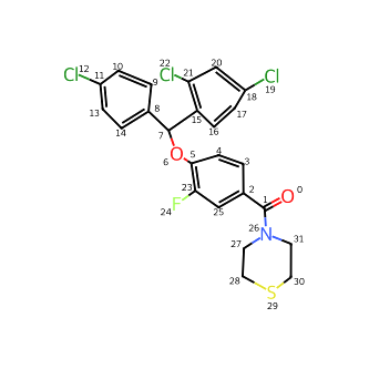 O=C(c1ccc(OC(c2ccc(Cl)cc2)c2ccc(Cl)cc2Cl)c(F)c1)N1CCSCC1